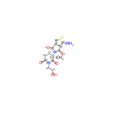 C[C@@]1(N2C(=O)c3csc(N)c3C2=O)CCC(=O)N(CCO)C1=O